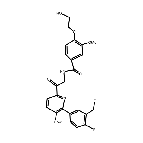 COc1cc(C(=O)NCC(=O)c2ccc(OC)c(-c3ccc(F)c(CF)c3)n2)ccc1OCCO